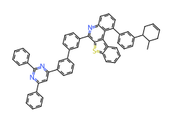 CC1CC=CCC1c1cccc(-c2cccc3nc(-c4cccc(-c5cccc(-c6cc(-c7ccccc7)nc(-c7ccccc7)n6)c5)c4)c4sc5ccccc5c4c23)c1